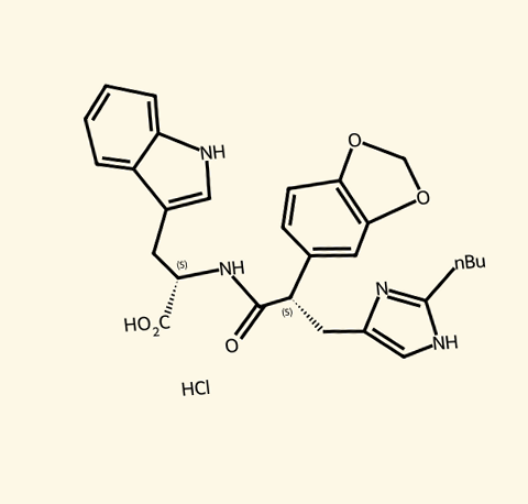 CCCCc1nc(C[C@H](C(=O)N[C@@H](Cc2c[nH]c3ccccc23)C(=O)O)c2ccc3c(c2)OCO3)c[nH]1.Cl